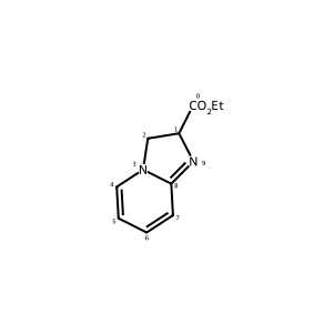 CCOC(=O)C1CN2C=CC=CC2=N1